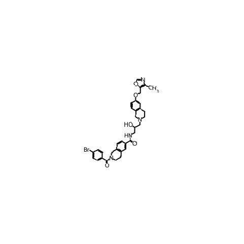 Cc1ncoc1COc1ccc2c(c1)CCN(CC(O)CNC(=O)c1ccc3c(c1)CCN(C(=O)c1ccc(Br)cc1)C3)C2